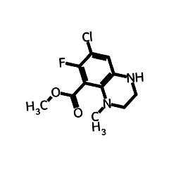 COC(=O)c1c(F)c(Cl)cc2c1N(C)CCN2